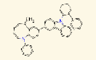 C=C1/C=C\C=C/N(c2ccccc2)c2ccc(-c3ccc4c(c3)c3ccccc3n4C3=CCCC=C3c3ccccc3)cc21